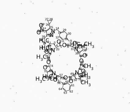 CC(C)C[C@H]1C(=O)O[C@H](Cc2ccc(Cn3nc(C4CC4)c([N+](=O)[O-])c3C3CC3)cc2)C(=O)N(C)[C@@H](CC(C)C)C(=O)O[C@H](C)C(=O)N(C)[C@@H](CC(C)C)C(=O)O[C@H](Cc2ccccc2)C(=O)N(C)[C@@H](CC(C)C)C(=O)O[C@H](C)C(=O)N1C